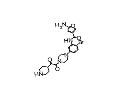 Nc1cc(C(=O)Nc2cc(N3CCN(C(=O)C(=O)C4CCNCC4)CC3)ccc2Br)co1